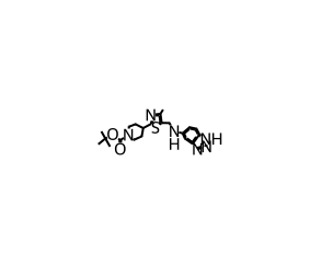 Cc1nc(C2CCN(C(=O)OC(C)(C)C)CC2)sc1CNc1ccc2[nH]nnc2c1